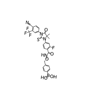 CC1(C)C(=O)N(c2ccc(C#N)c(C(F)(F)F)c2)C(=S)N1c1ccc(C(=O)NOCc2ccc(B(O)O)cc2)c(F)c1